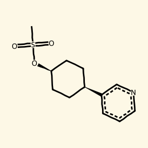 CS(=O)(=O)O[C@H]1CC[C@@H](c2cccnc2)CC1